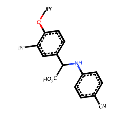 CC(C)Oc1ccc(C(Nc2ccc(C#N)cc2)C(=O)O)cc1C(C)C